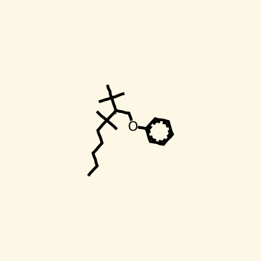 CCCCCC(C)(C)[C](COc1ccccc1)C(C)(C)C